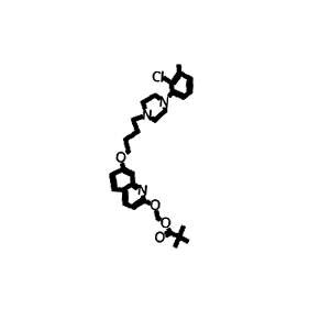 Cc1cccc(N2CCN(CCCCOc3ccc4ccc(OCOC(=O)C(C)(C)C)nc4c3)CC2)c1Cl